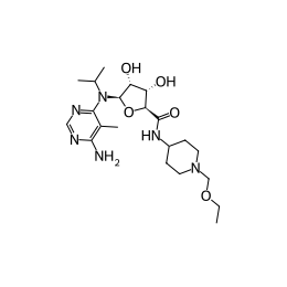 CCOCN1CCC(NC(=O)[C@H]2O[C@@H](N(c3ncnc(N)c3C)C(C)C)[C@H](O)[C@@H]2O)CC1